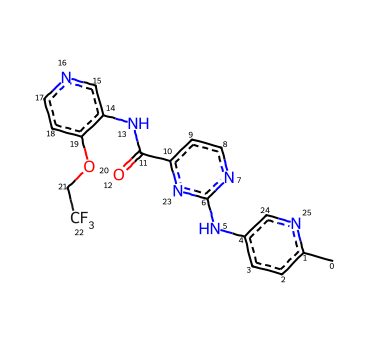 Cc1ccc(Nc2nccc(C(=O)Nc3cnccc3OCC(F)(F)F)n2)cn1